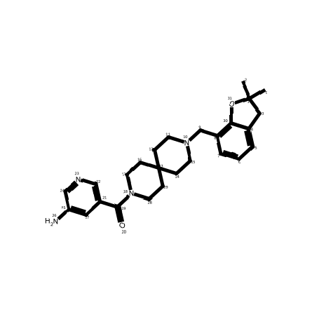 CC1(C)Cc2cccc(CN3CCC4(CC3)CCN(C(=O)c3cncc(N)c3)CC4)c2O1